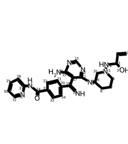 C=CC(O)NN1CCCC(Nc2ncnc(N)c2C(=N)c2ccc(C(=O)Nc3ccccn3)cc2)C1